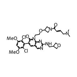 COc1cc(OC)c(Cl)c(-c2cc3cnc(NCC4COC4)nc3n(CCOC3CN(C(=O)/C=C/CN(C)C)C3)c2=O)c1Cl